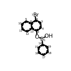 OB(Oc1ccc(Br)c2ccccc12)c1ccccc1